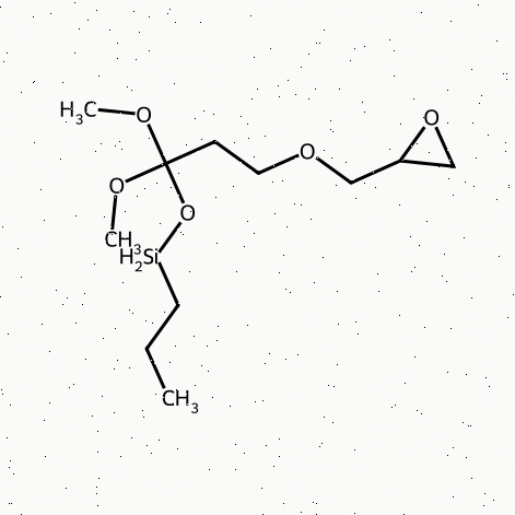 CCC[SiH2]OC(CCOCC1CO1)(OC)OC